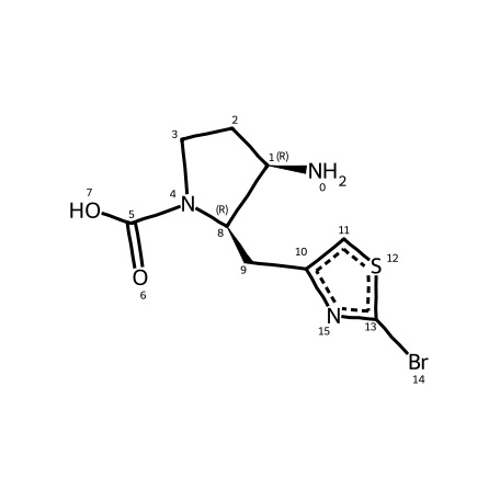 N[C@@H]1CCN(C(=O)O)[C@@H]1Cc1csc(Br)n1